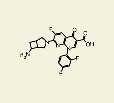 NC1CC2CN(c3nc4c(cc3F)c(=O)c(C(=O)O)cn4-c3ccc(F)cc3F)CC12